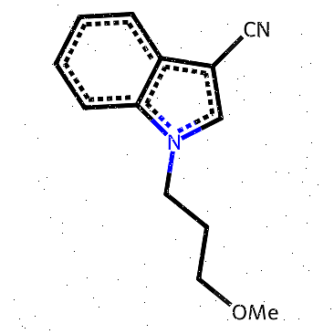 COCCCn1cc(C#N)c2ccccc21